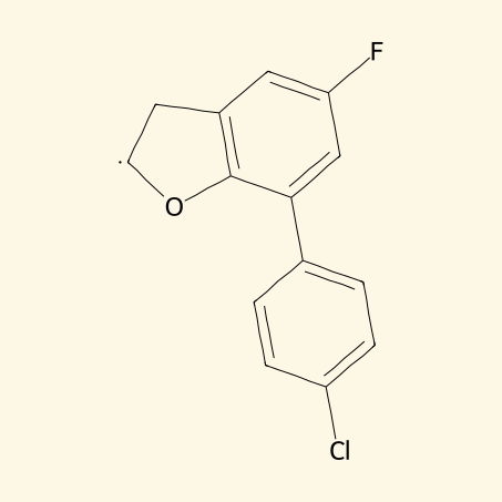 Fc1cc2c(c(-c3ccc(Cl)cc3)c1)O[CH]C2